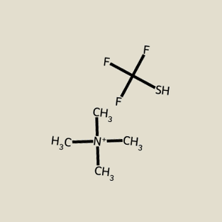 C[N+](C)(C)C.FC(F)(F)S